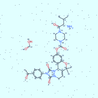 CC(=O)c1ccc(-n2c(=O)n3n(c2=O)C2C(=CC3)C(C)(C)Oc3cc(OC(=O)N4CCN(C(=O)[C@@H](N)C(C)C)CC4)ccc32)cc1.O=CO